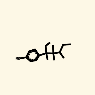 CCC(C)C(C)(C)C(C)(CC)c1ccc(O)cc1